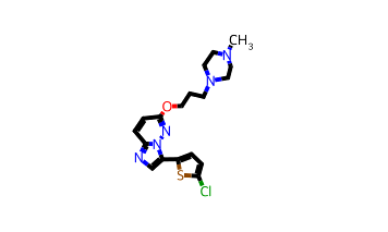 CN1CCN(CCCOc2ccc3ncc(-c4ccc(Cl)s4)n3n2)CC1